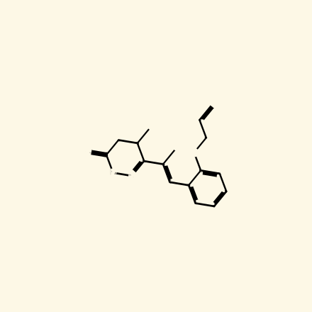 C=CCSc1ccccc1C=C(C)C1=NNC(=O)CC1C